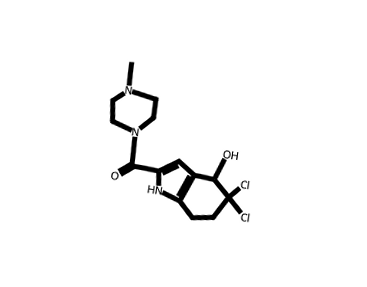 CN1CCN(C(=O)c2cc3c([nH]2)CCC(Cl)(Cl)C3O)CC1